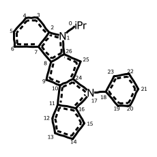 CC(C)n1c2ccccc2c2cc3c4ccccc4n(-c4ccccc4)c3cc21